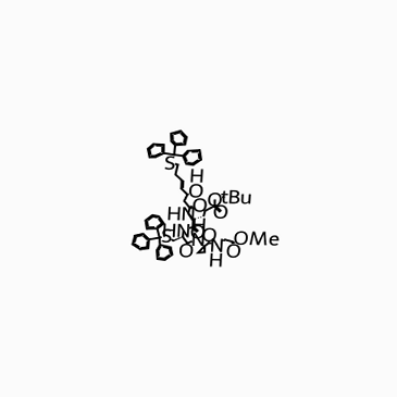 COC(=O)CNC(=O)C1(NC(=O)[C@@H](CSC(c2ccccc2)(c2ccccc2)c2ccccc2)NC(=O)[C@@H](CCC(=O)OC(C)(C)C)NC(=O)C[C@H](O)/C=C/CCSC(c2ccccc2)(c2ccccc2)c2ccccc2)CC1